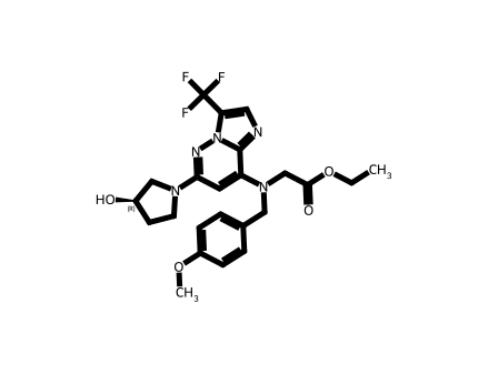 CCOC(=O)CN(Cc1ccc(OC)cc1)c1cc(N2CC[C@@H](O)C2)nn2c(C(F)(F)F)cnc12